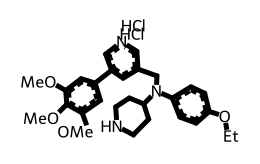 CCOc1ccc(N(Cc2cncc(-c3cc(OC)c(OC)c(OC)c3)c2)C2CCNCC2)cc1.Cl.Cl